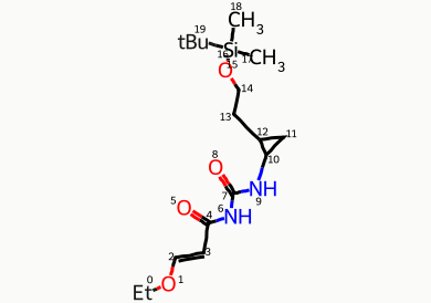 CCOC=CC(=O)NC(=O)NC1CC1CCO[Si](C)(C)C(C)(C)C